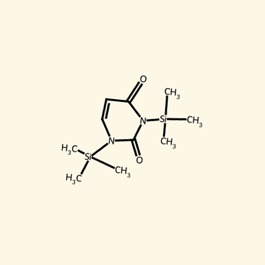 C[Si](C)(C)n1ccc(=O)n([Si](C)(C)C)c1=O